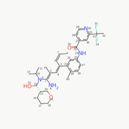 C\C=C/C(=C\C(C)=C(/N)N(C(C)C)C(O)[C@H]1CCCOC1)c1cc(NC(=O)c2ccnc(C(C)(F)F)c2)ccc1C